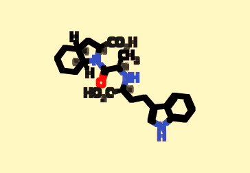 C[C@H](N[C@@H](CCc1c[nH]c2ccccc12)C(=O)O)C(=O)N1[C@H](C(=O)O)C[C@H]2CCCC[C@@H]21